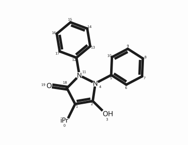 CC(C)c1c(O)n(-c2ccccc2)n(-c2ccccc2)c1=O